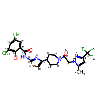 Cc1cc(C(F)(F)F)nn1CC(=O)N1CCC(c2csc(NC(=O)c3cc(Cl)cc(Cl)c3O)n2)CC1